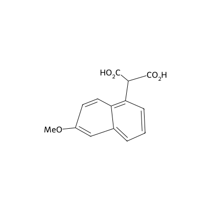 COc1ccc2c(C(C(=O)O)C(=O)O)cccc2c1